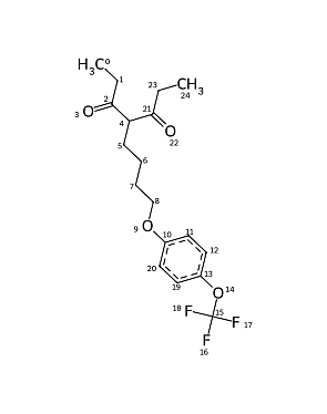 CCC(=O)C(CCCCOc1ccc(OC(F)(F)F)cc1)C(=O)CC